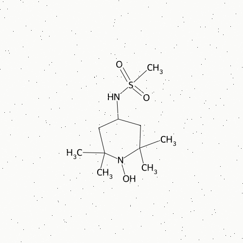 CC1(C)CC(NS(C)(=O)=O)CC(C)(C)N1O